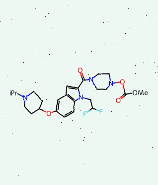 COC(=O)ON1CCN(C(=O)c2cc3cc(OC4CCN(C(C)C)CC4)ccc3n2CC(F)F)CC1